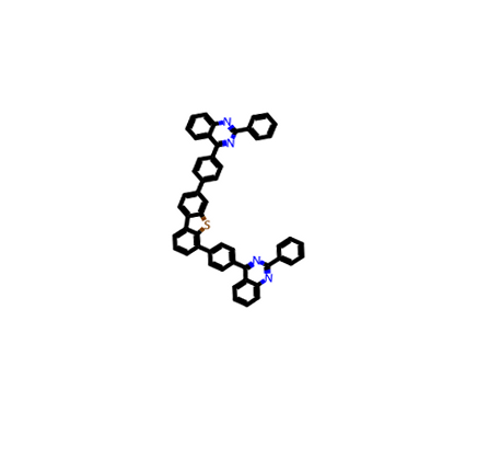 c1ccc(-c2nc(-c3ccc(-c4ccc5c(c4)sc4c(-c6ccc(-c7nc(-c8ccccc8)nc8ccccc78)cc6)cccc45)cc3)c3ccccc3n2)cc1